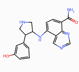 NC(=O)c1ccc(NC2CNCC2c2cccc(O)c2)c2cncnc12